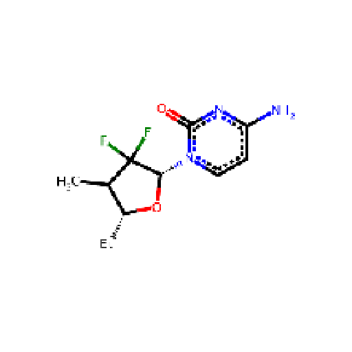 CC[C@H]1O[C@@H](n2ccc(N)nc2=O)C(F)(F)C1C